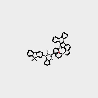 CC1(C)c2ccccc2-c2ccc(C3NC(c4ccc(-n5c6c7ccccc7c7ccccc7c6c6ccc7ccn(-c8ccccc8)c7c65)cc4)=Nc4ccccc43)cc21